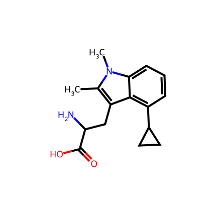 Cc1c(CC(N)C(=O)O)c2c(C3CC3)cccc2n1C